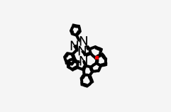 c1ccc(-c2nc(-c3ccccc3)n3c(-n4c5ccccc5c5c6ccccc6c6c(c54)-c4ccccc4C6)c4ccccc4c3n2)cc1